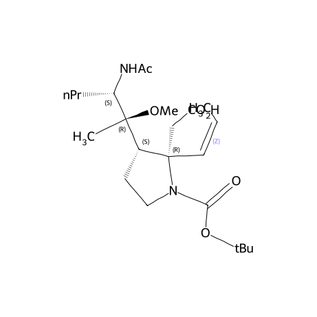 C/C=C\[C@]1(CC(=O)O)[C@@H]([C@@](C)(OC)[C@H](CCC)NC(C)=O)CCN1C(=O)OC(C)(C)C